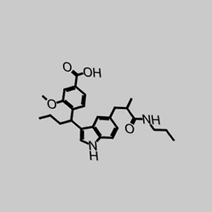 CCCNC(=O)C(C)Cc1ccc2[nH]cc(C(CCC)c3ccc(C(=O)O)cc3OC)c2c1